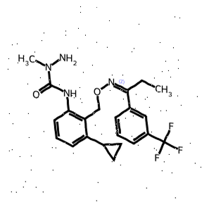 CC/C(=N/OCc1c(NC(=O)N(C)N)cccc1C1CC1)c1cccc(C(F)(F)F)c1